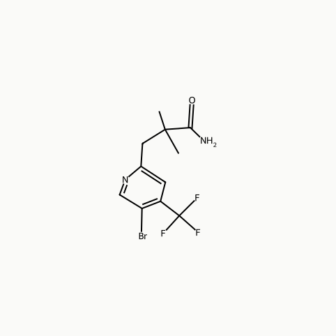 CC(C)(Cc1cc(C(F)(F)F)c(Br)cn1)C(N)=O